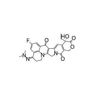 CC[C@@]1(O)C(=O)OCc2c1cc1n(c2=O)Cc2c-1c(=O)c1cc(F)cc3c1n2CC/C3=N/N(C)C